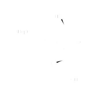 CCCCCCCCO[C@H]1[C@@H]([C@H](O)CO)OC[C@@H]1O